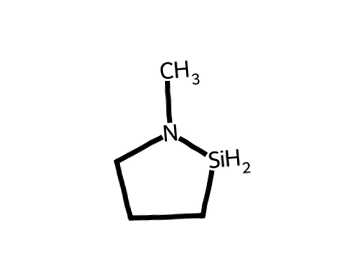 CN1CCC[SiH2]1